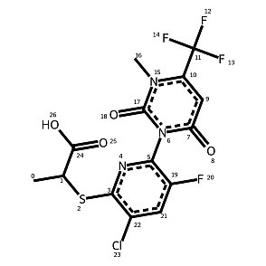 CC(Sc1nc(-n2c(=O)cc(C(F)(F)F)n(C)c2=O)c(F)cc1Cl)C(=O)O